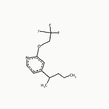 CCCC(C)c1ccnc(OCC(F)(F)F)c1